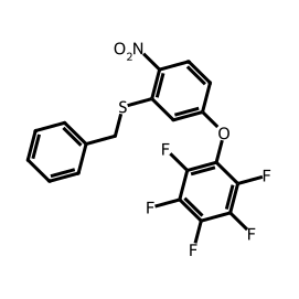 O=[N+]([O-])c1ccc(Oc2c(F)c(F)c(F)c(F)c2F)cc1SCc1ccccc1